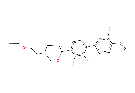 C=Cc1ccc(-c2ccc(C3CCC(CCOCC)CO3)c(F)c2F)cc1F